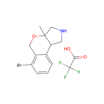 CC(C)c1cccc2c1COC1(C)CNCC21.O=C(O)C(F)(F)F